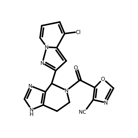 N#Cc1ncoc1C(=O)N1CCc2[nH]cnc2C1c1cc2c(Cl)cccn2n1